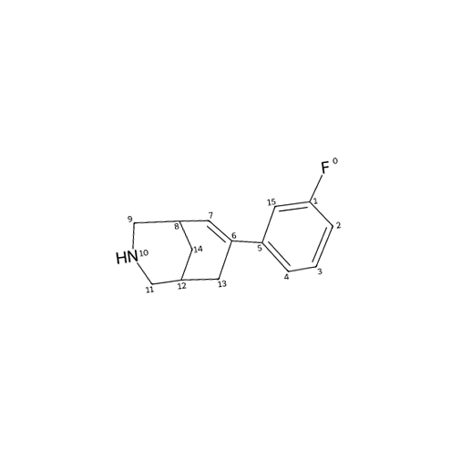 Fc1cccc(C2=CC3CNCC(C2)C3)c1